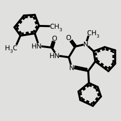 Cc1cccc(C)c1NC(=O)NC1N=C(c2ccccc2)c2ccccc2N(C)C1=O